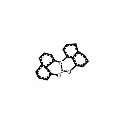 c1cc2c3c(cccc3c1)N1B(O2)Oc2cccc3cccc1c23